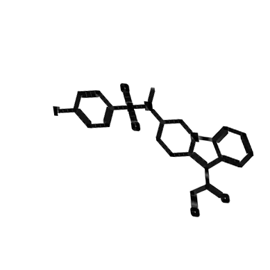 CN(C1CCc2c(C(=O)C=O)c3ccccc3n2C1)S(=O)(=O)c1ccc(F)cc1